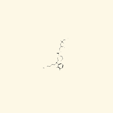 COCCCC[C@@](O)(c1cccc(F)c1F)[C@@H]1CCCN(C(=O)NCC(N)CC(C)(C)COC)C1